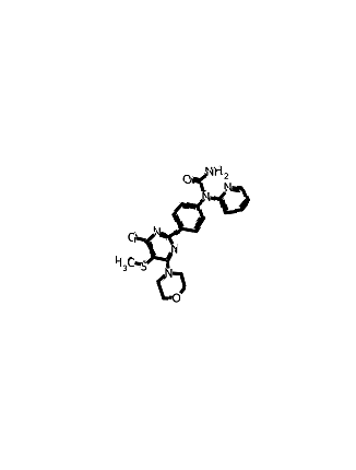 CSc1c(Cl)nc(-c2ccc(N(C(N)=O)c3ccccn3)cc2)nc1N1CCOCC1